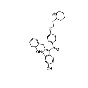 O=C(c1ccc(OCCC2CCCCN2)cc1)c1c(Cc2ccccc2O)sc2cc(O)ccc12